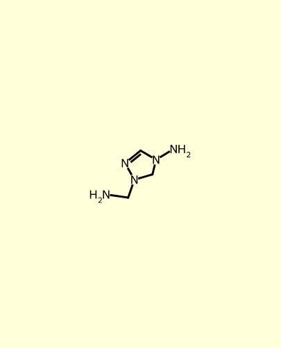 NCN1CN(N)C=N1